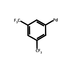 FC(F)(F)c1c[c]([Pd])cc(C(F)(F)F)c1